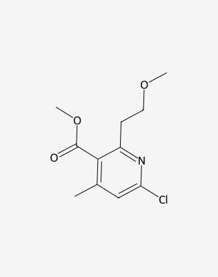 COCCc1nc(Cl)cc(C)c1C(=O)OC